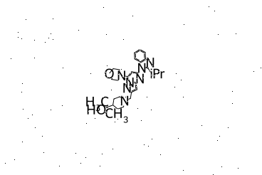 CC(C)c1nc2ccccc2n1-c1cc(N2CCOCC2)n2nc(CN3CCC(C(C)(C)O)CC3)cc2n1